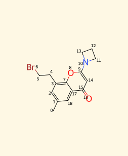 Cc1cc(CCBr)c2oc(N3CCC3)cc(=O)c2c1